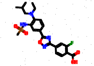 CCN(CC(C)C)c1ccc(-c2nc(-c3ccc(C(=O)O)c(F)c3)no2)cc1NS(C)(=O)=O